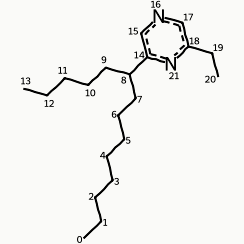 CCCCCCCCC(CCCCC)c1cncc(CC)n1